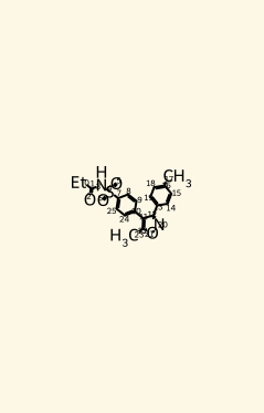 CCC(=O)NS(=O)(=O)c1ccc(-c2c(-c3ccc(C)cc3)noc2C)cc1